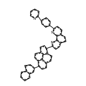 c1ccc(-c2ccc(-c3ccc4ccc5ccc(-c6ccc7ccc8c(-c9ccc%10ccccc%10c9)ccc9ccc6c7c98)nc5c4n3)cc2)nc1